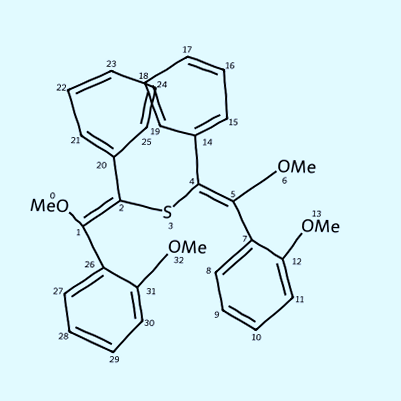 COC(=C(SC(=C(OC)c1ccccc1OC)c1ccccc1)c1ccccc1)c1ccccc1OC